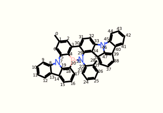 Cc1cc2c3c(c1)-n1c4ccccc4c4cccc(c41)B3N(c1ccccc1C)c1c-2ccc2c1c1cccc3c4ccccc4n2c31